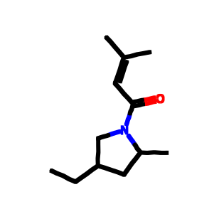 CCC1CC(C)N(C(=O)C=C(C)C)C1